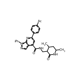 CC(=O)c1ccc(-c2cc(C(=O)NCC3C(=O)NC(C)CC3C)c3cnn(C(C)C)c3n2)cc1